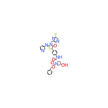 O=C(Nc1ccc(C2S/C(=N\c3cccnc3)N(Cc3cncc(F)n3)C2=O)cc1)[C@@H]1C[C@@H](O)CN1C(=O)OCc1ccccc1